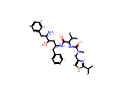 CC(C)c1nc(CN(C)C(=O)NC(C(=O)NC(Cc2ccccc2)CC(O)C(N)Cc2ccccc2)C(C)C)cs1